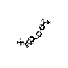 CNC(=O)c1ccc(N2CCN(Cc3ccnc(NS(=O)(=O)NCC(F)(F)F)c3)CC2)cn1